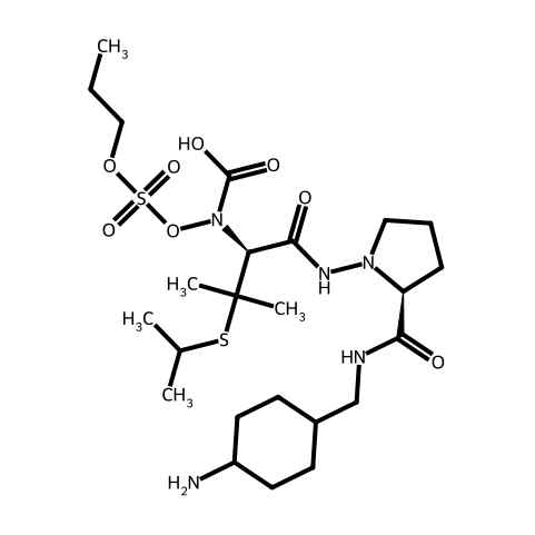 CCCOS(=O)(=O)ON(C(=O)O)[C@@H](C(=O)NN1CCC[C@H]1C(=O)NCC1CCC(N)CC1)C(C)(C)SC(C)C